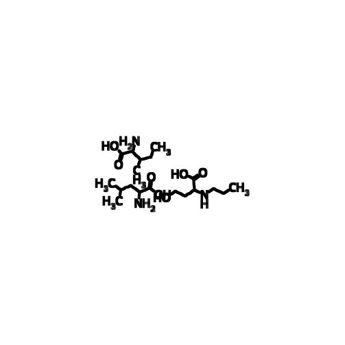 CC(C)CC(N)C(=O)O.CCC(C)C(N)C(=O)O.CCCNC(CCO)C(=O)O